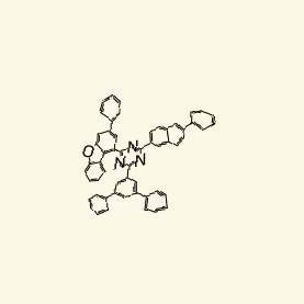 c1ccc(-c2cc(-c3ccccc3)cc(-c3nc(-c4ccc5cc(-c6ccccc6)ccc5c4)nc(-c4cc(-c5ccccc5)cc5oc6ccccc6c45)n3)c2)cc1